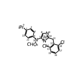 CC(C)c1ccc(N(C=O)c2cnc(Cc3c(Cl)cccc3Cl)[nH]2)cc1